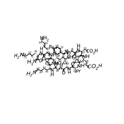 CC(C)[C@H](NC(=O)[C@H](CCC(=O)O)NC(=O)[C@H](CC(=O)O)NC(=O)CON=Cc1ccc(F)cc1)C(=O)N[C@@H](CC(=O)O)C(=O)NCC(=O)N[C@@H](CCCCN)C(=O)N[C@@H](CCCCN)C(=O)N[C@@H](CCCCN)C(=O)N[C@@H](CCCCN)C(N)=O